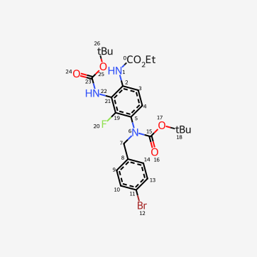 CCOC(=O)Nc1ccc(N(Cc2ccc(Br)cc2)C(=O)OC(C)(C)C)c(F)c1NC(=O)OC(C)(C)C